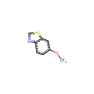 FC(F)(F)Oc1ccc2n[c]sc2c1